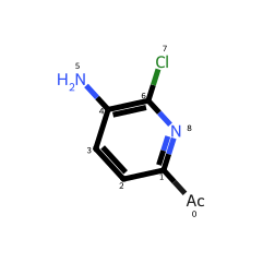 CC(=O)c1ccc(N)c(Cl)n1